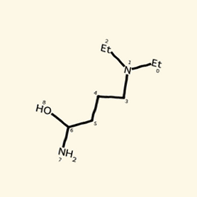 CCN(CC)CCCC(N)O